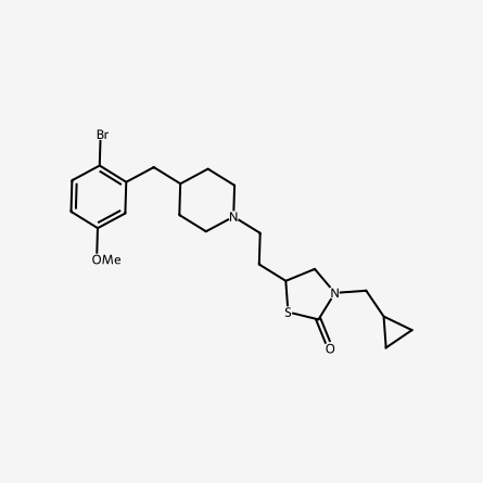 COc1ccc(Br)c(CC2CCN(CCC3CN(CC4CC4)C(=O)S3)CC2)c1